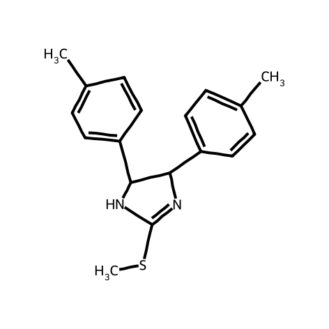 CSC1=NC(c2ccc(C)cc2)C(c2ccc(C)cc2)N1